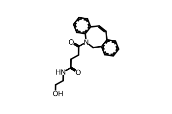 O=C(CCC(=O)N1Cc2ccccc2/C=C\c2ccccc21)NCCO